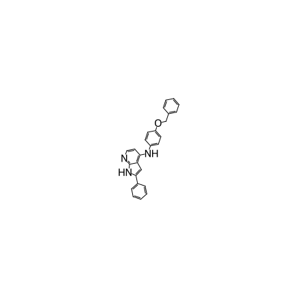 c1ccc(COc2ccc(Nc3ccnc4[nH]c(-c5ccccc5)cc34)cc2)cc1